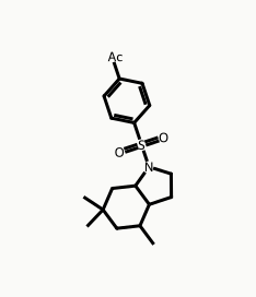 CC(=O)c1ccc(S(=O)(=O)N2CCC3C(C)CC(C)(C)CC32)cc1